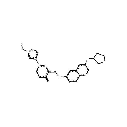 CCn1cc(-n2ccc(=O)c(COc3ccc4ncc(OC5CCOC5)cc4c3)n2)cn1